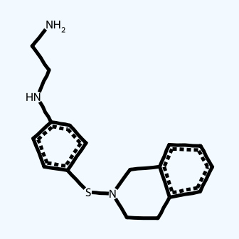 NCCNc1ccc(SN2CCc3ccccc3C2)cc1